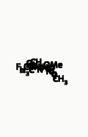 COc1c(-c2ccc(N3CC(C)N(C(=O)CC(F)(F)F)C(C)C3)nc2)cnc2c(-c3ccc(C)cc3)cccc12